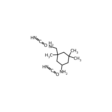 CC1(C)CC(N)CC(C)(CN)C1.N=C=O.N=C=O